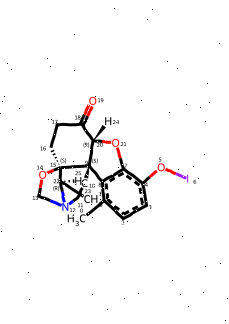 Cc1ccc(OI)c2c1[C@]13CCN4CO[C@]1(CCC(=O)[C@@H]3O2)[C@H]4C